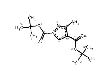 Cc1nn(C(=O)OC(C)(C)C)cc1C(=O)OC(C)(C)C